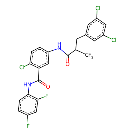 O=C(Nc1ccc(F)cc1F)c1cc(NC(=O)C(Cc2cc(Cl)cc(Cl)c2)C(F)(F)F)ccc1Cl